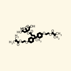 C=C(C)C(=O)OCCOc1ccc(C(C)(CCC(=O)OC(CC(=O)O)(CC(=O)O)C(=O)O)c2ccc(OCCOC(=O)C(=C)C)cc2)cc1